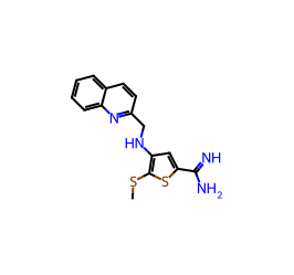 CSc1sc(C(=N)N)cc1NCc1ccc2ccccc2n1